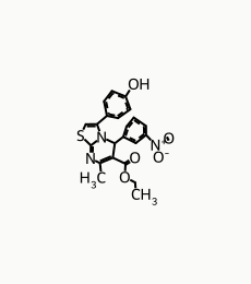 CCOC(=O)C1=C(C)N=C2SC=C(c3ccc(O)cc3)N2C1c1cccc([N+](=O)[O-])c1